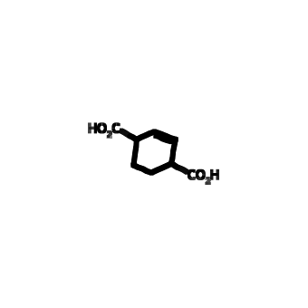 O=C(O)C1C=CC(C(=O)O)CC1